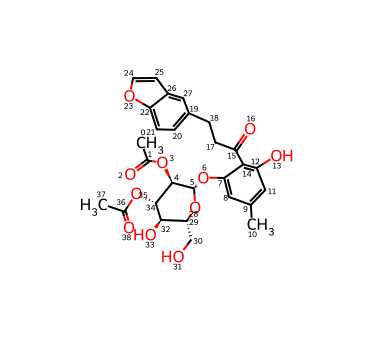 CC(=O)O[C@H]1[C@H](Oc2cc(C)cc(O)c2C(=O)CCc2ccc3occc3c2)O[C@H](CO)[C@@H](O)[C@@H]1OC(C)=O